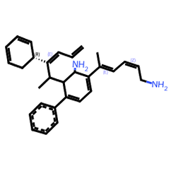 C=C/C=C(\C(C)C1C(c2ccccc2)=CC=C(/C(C)=C/C=C\CN)C1N)[C@H]1C=CC=CC1